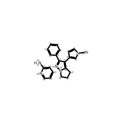 CC(C)n1ccc(-c2c(-c3ccccc3)nn3c2CCC3)c1.Nc1ccccn1